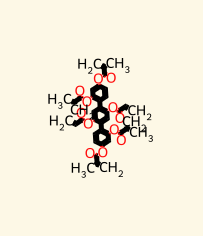 C=CC(=O)Oc1cc(-c2ccc(OC(=O)C(=C)C)cc2OC(=O)C(=C)C)c(OC(=O)C=C)cc1-c1ccc(OC(=O)C(=C)C)cc1OC(=O)C(=C)C